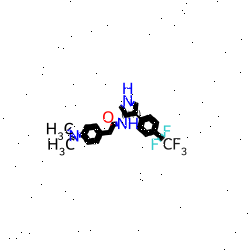 CN(C)c1ccc(CC(=O)N[C@@H]2CNC[C@H]2c2ccc(C(F)(F)C(F)(F)F)cc2)cc1